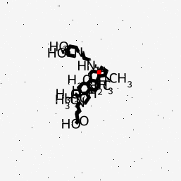 C=C(C)[C@@H]1CC[C@]2(CNCCCN3CCS(O)(O)CC3)CC[C@]3(C)[C@H](CC[C@@H]4[C@@]5(C)CCN(C/C=C/C(=O)O)C(C)(C)[C@@H]5CC[C@]43C)[C@@H]12